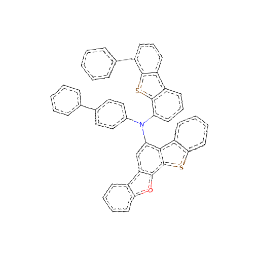 c1ccc(-c2ccc(N(c3cccc4c3sc3c(-c5ccccc5)cccc34)c3cc4c5ccccc5oc4c4sc5ccccc5c34)cc2)cc1